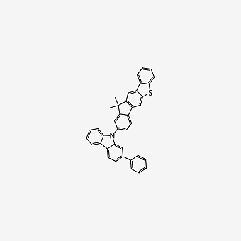 CC1(C)c2cc(-n3c4ccccc4c4ccc(-c5ccccc5)cc43)ccc2-c2cc3sc4ccccc4c3cc21